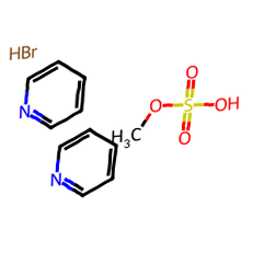 Br.COS(=O)(=O)O.c1ccncc1.c1ccncc1